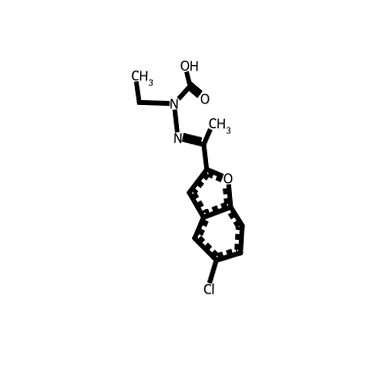 CCN(N=C(C)c1cc2cc(Cl)ccc2o1)C(=O)O